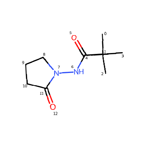 CC(C)(C)C(=O)NN1CCCC1=O